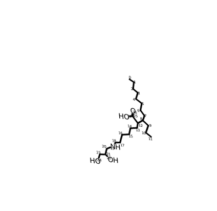 CCCCCCCCC(CCC)C(CCCCCCNCC(O)CO)C(=O)O